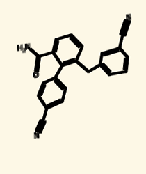 N#Cc1ccc(-c2c(Cc3cccc(C#N)c3)cccc2C(N)=O)cc1